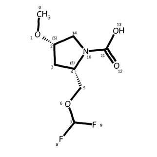 CO[C@H]1C[C@@H](COC(F)F)N(C(=O)O)C1